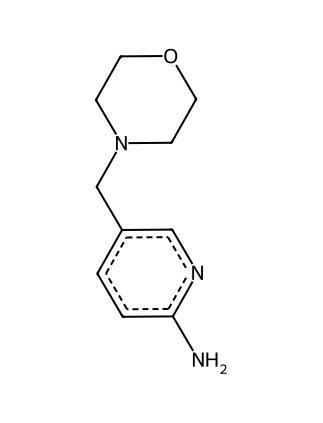 Nc1ccc(CN2CCOCC2)cn1